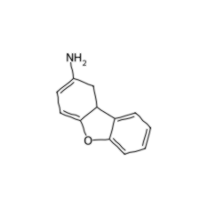 NC1=CC=C2Oc3ccccc3C2C1